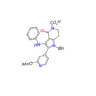 COc1cc(-c2c(Nc3ccccc3)c3c(n2C(C)(C)C)CCN(C(=O)O)C3=O)ccn1